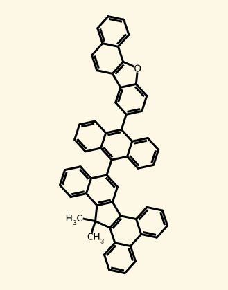 CC1(C)c2c(cc(-c3c4ccccc4c(-c4ccc5oc6c7ccccc7ccc6c5c4)c4ccccc34)c3ccccc23)-c2c1c1ccccc1c1ccccc21